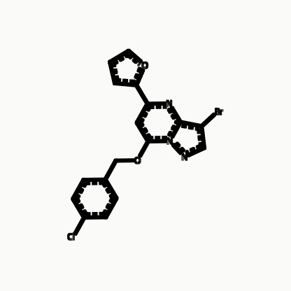 Clc1ccc(COc2cc(-c3ccco3)nc3c(Br)cnn23)cc1